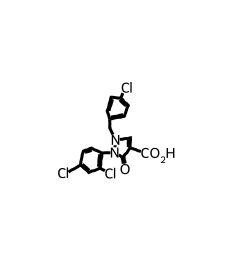 O=C(O)c1cn(Cc2ccc(Cl)cc2)n(-c2ccc(Cl)cc2Cl)c1=O